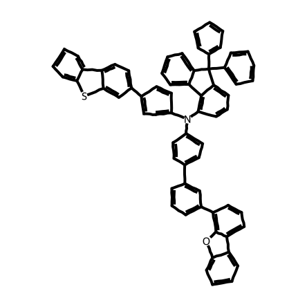 c1ccc(C2(c3ccccc3)c3ccccc3-c3c(N(c4ccc(-c5cccc(-c6cccc7c6oc6ccccc67)c5)cc4)c4ccc(-c5ccc6c(c5)sc5ccccc56)cc4)cccc32)cc1